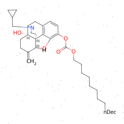 C=C1CC[C@@]2(O)C3Cc4ccc(OC(=O)OCCCCCCCCCCCCCCCCCC)c5c4[C@@]2(CCN3CC2CC2)[C@H]1O5